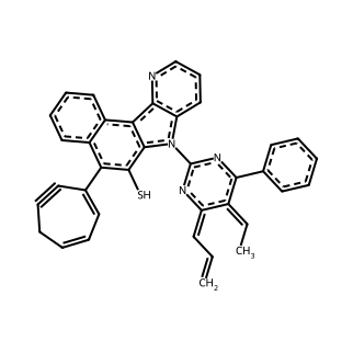 C=C/C=c1/nc(-n2c3cccnc3c3c4ccccc4c(C4=CC=CCC#C4)c(S)c32)nc(-c2ccccc2)/c1=C/C